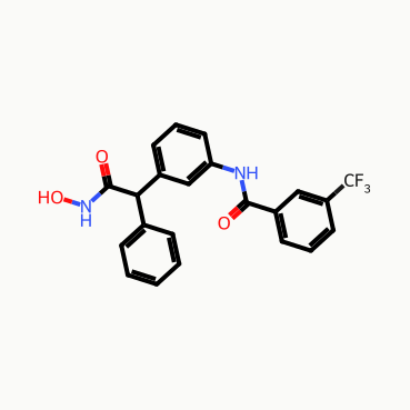 O=C(Nc1cccc(C(C(=O)NO)c2ccccc2)c1)c1cccc(C(F)(F)F)c1